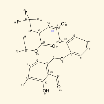 Cc1ncc(COc2ccccc2O/[P+]([O-])=N\C(CC(F)(F)F)C(=O)OC(C)C)c(C=O)c1O